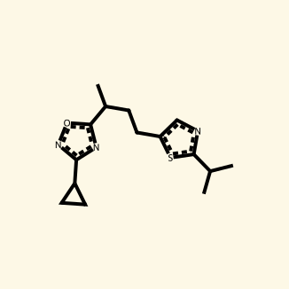 CC(C)c1ncc(CCC(C)c2nc(C3CC3)no2)s1